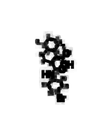 Cc1ccc(C)c2c1CCC(C(=O)Nc1ccc(Br)cc1)=C2C(=O)O